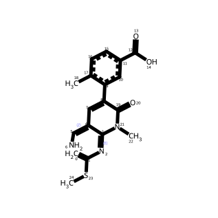 C=C(/N=C1\C(=C/N)C=C(c2cc(C(=O)O)ccc2C)C(=O)N1C)SC